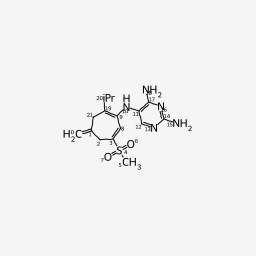 C=C1CC(S(C)(=O)=O)=CC(Nc2cnc(N)nc2N)=C(C(C)C)C1